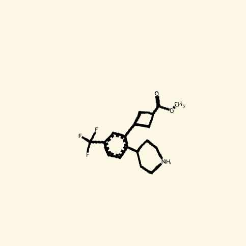 COC(=O)C1CC(c2cc(C(F)(F)F)ccc2C2CCNCC2)C1